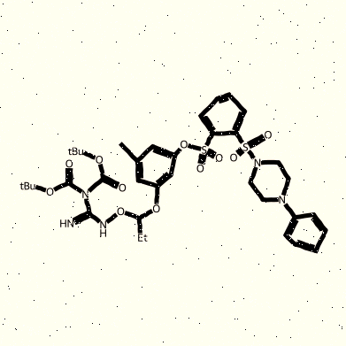 CCC(ONC(=N)N(C(=O)OC(C)(C)C)C(=O)OC(C)(C)C)Oc1cc(C)cc(OS(=O)(=O)c2ccccc2S(=O)(=O)N2CCN(c3ccccc3)CC2)c1